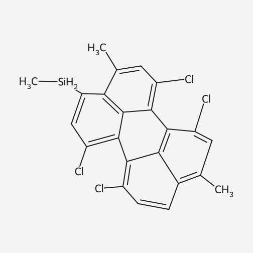 C[SiH2]c1cc(Cl)c2c3c(Cl)ccc4c(C)cc(Cl)c(c5c(Cl)cc(C)c1c52)c43